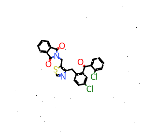 O=C(c1ccccc1Cl)c1cc(Cl)ccc1Cc1ncsc1CN1C(=O)c2ccccc2C1=O